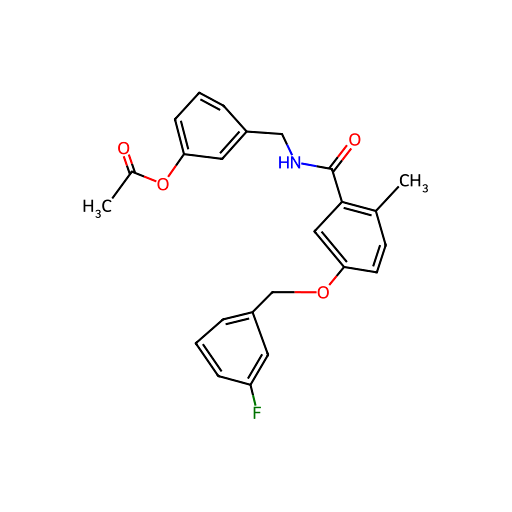 CC(=O)Oc1cccc(CNC(=O)c2cc(OCc3cccc(F)c3)ccc2C)c1